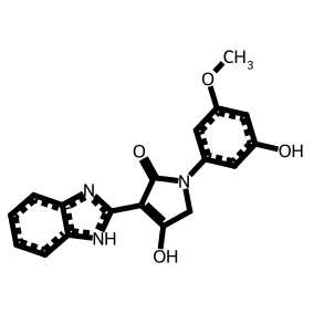 COc1cc(O)cc(N2CC(O)=C(c3nc4ccccc4[nH]3)C2=O)c1